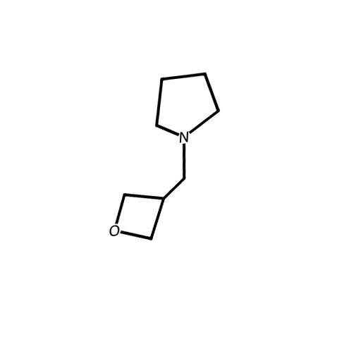 C1CCN(CC2COC2)C1